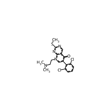 CSc1ncc2c(=O)c(-c3c(Cl)cccc3Cl)cn(CCN(C)C)c2n1